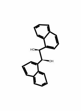 O[C@@H](c1cccc2ccccc12)[C@@H](O)c1cccc2ccccc12